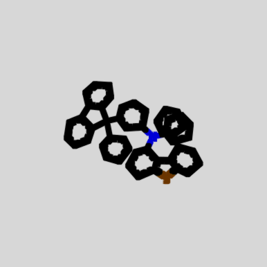 c1ccc(-c2cccc3sc4cccc(N(c5ccccc5)c5cccc(C6(c7ccccc7)c7ccccc7-c7ccccc76)c5)c4c23)cc1